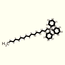 CCCCCCCCCCCCCCCC[P+](c1ccccc1)(c1ccccc1)c1ccccc1